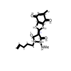 C=CCCCN1C(=O)/C(=C2\SC3=C(S2)C(=O)C(C)=CC3=O)C(=O)N1NC